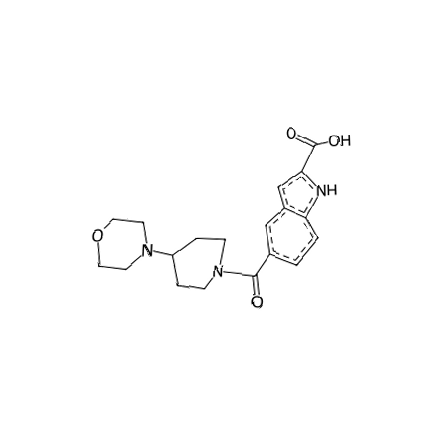 O=C(O)c1cc2cc(C(=O)N3CCC(N4CCOCC4)CC3)ccc2[nH]1